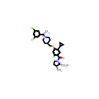 C[C@H]1CCN(C(=O)c2cc(C3CC3)c(OCC3CCN([C@H](c4cc(Cl)cc(Cl)c4)C(F)(F)F)CC3)cc2F)[C@@H]1C(=O)O